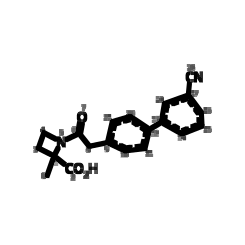 CC1(C(=O)O)CCN1C(=O)Cc1ccc(-c2cccc(C#N)c2)cc1